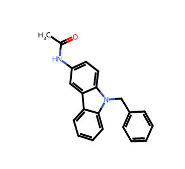 CC(=O)Nc1ccc2c(c1)c1ccccc1n2Cc1ccccc1